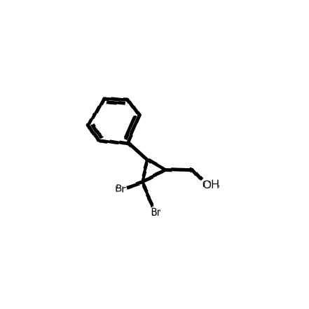 OCC1C(c2ccccc2)C1(Br)Br